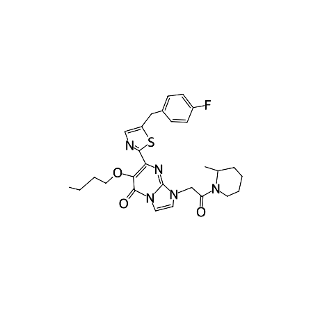 CCCCOc1c(-c2ncc(Cc3ccc(F)cc3)s2)nc2n(CC(=O)N3CCCCC3C)ccn2c1=O